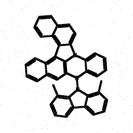 Cc1cccc2c3cccc(C)c3n(B3c4ccccc4-n4c5ccc6ccccc6c5c5c6ccccc6cc3c54)c12